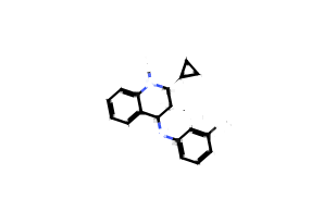 CC(=O)N1c2ccccc2C(Nc2cccc(C#N)c2)[C@@H](C)[C@@H]1C1CC1